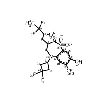 CN1C(CCC(C)(F)F)CN(C2CC(F)(F)C2)c2cc(C(F)(F)F)c(O)cc2S1(=O)=O